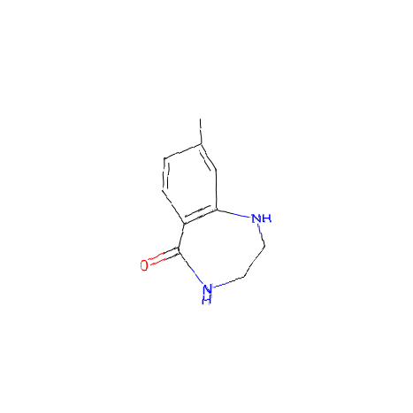 Cc1ccc2c(c1)NCCNC2=O